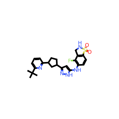 CC(C)(C)c1cccc(C2CCC(c3cc(Nc4ccc5c(c4F)CNS5(=O)=O)[nH]n3)C2)n1